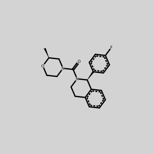 [CH2][C@H]1CN(C(=O)N2CCc3ccccc3[C@@H]2c2ccc(F)cc2)CCO1